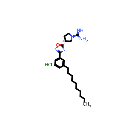 CCCCCCCCCCc1cccc(-c2noc([C@@H]3CCN(C(=N)N)C3)n2)c1.Cl